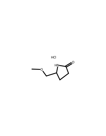 COCC1CCC(=O)N1.Cl